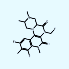 Cc1c(F)cc2c3c(c(=O)n(C)c2c1F)N(CF)C(=O)C1CN(C)C(C)CN31